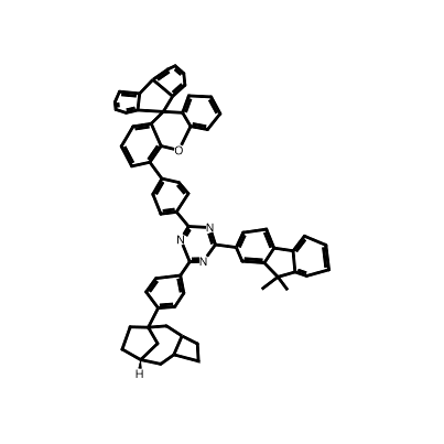 CC1(C)c2ccccc2-c2ccc(-c3nc(-c4ccc(-c5cccc6c5Oc5ccccc5C65c6ccccc6-c6ccccc65)cc4)nc(-c4ccc(C56CC[C@@H](CC7CCC7C5)C6)cc4)n3)cc21